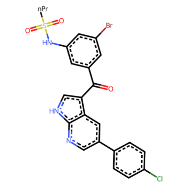 CCCS(=O)(=O)Nc1cc(Br)cc(C(=O)c2c[nH]c3ncc(-c4ccc(Cl)cc4)cc23)c1